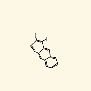 Ic1ccc2cc3ccccc3cc2c1I